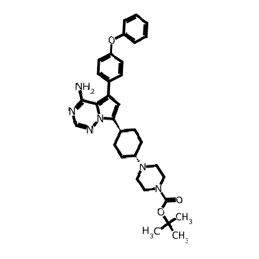 CC(C)(C)OC(=O)N1CCN([C@H]2CC[C@H](c3cc(-c4ccc(Oc5ccccc5)cc4)c4c(N)ncnn43)CC2)CC1